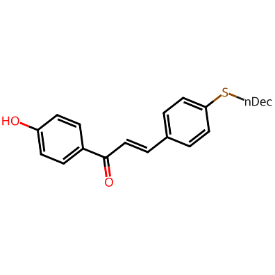 CCCCCCCCCCSc1ccc(C=CC(=O)c2ccc(O)cc2)cc1